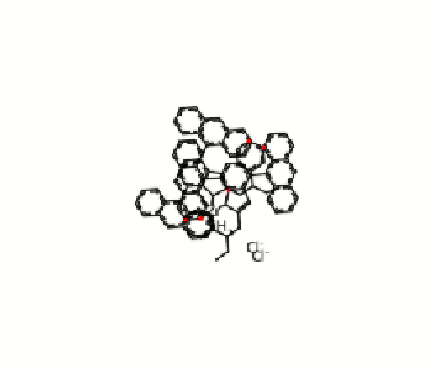 CCC(CC1=Cc2c(-c3c4ccccc4cc4ccccc34)ccc(-c3c4ccccc4cc4ccccc34)c2[CH]1[Zr]([CH3])([CH3])(=[SiH2])[CH]1C(CC(CC)c2ccccc2)=Cc2c(-c3c4ccccc4cc4ccccc34)ccc(-c3c4ccccc4cc4ccccc34)c21)c1ccccc1.[Cl-].[Cl-]